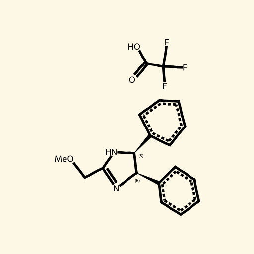 COCC1=N[C@H](c2ccccc2)[C@H](c2ccccc2)N1.O=C(O)C(F)(F)F